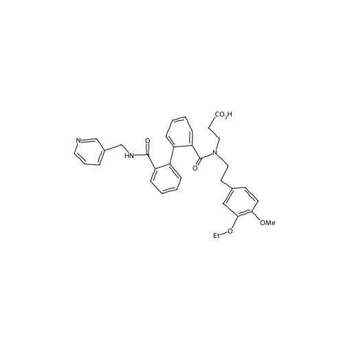 CCOc1cc(CCN(CCC(=O)O)C(=O)c2ccccc2-c2ccccc2C(=O)NCc2cccnc2)ccc1OC